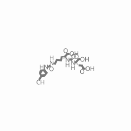 C#Cc1ccc(NC(=O)NCCCC[C@H](NC(=O)N[C@@H](CCC(=O)O)C(=O)O)C(=O)O)cc1